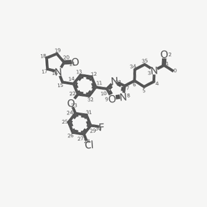 CC(=O)N1CCC(c2noc(-c3ccc(CN4CCCC4=O)c(Oc4ccc(Cl)c(F)c4)c3)n2)CC1